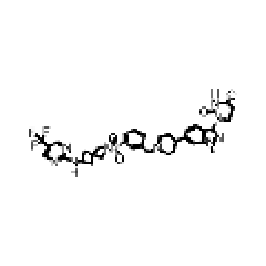 Cn1nc(N2CCC(=O)NC2=O)c2ccc(C3CCN(Cc4cccc(S(=O)(=O)N5CC6(CC(Nc7ncc(C(F)(F)F)cn7)C6)C5)c4)CC3)cc21